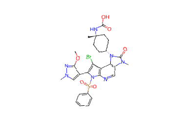 COc1nn(C)cc1-c1c(Br)c2c(ncc3c2n([C@H]2CC[C@@](C)(NC(=O)O)CC2)c(=O)n3C)n1S(=O)(=O)c1ccccc1